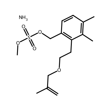 C=C(C)COCCc1c(COS(=O)(=O)OC)ccc(C)c1C.N